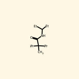 CCC(CC)NC(=O)C(C)(C(C)C)C(C)C